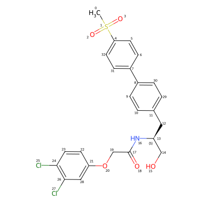 CS(=O)(=O)c1ccc(-c2ccc(C[C@@H](CO)NC(=O)COc3ccc(Cl)c(Cl)c3)cc2)cc1